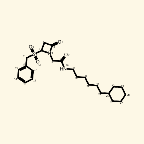 O=C(CN1C(=O)CC1S(=O)(=O)Cc1ccccc1)NCCCCCCC1CCCCC1